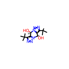 CC(C)(C)c1nnn2c1[C@@H](O)n1nnc(C(C)(C)C)c1[C@H]2O